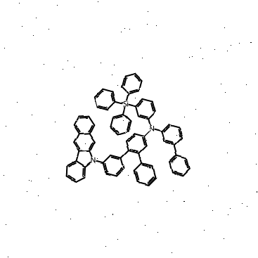 c1ccc(-c2cccc(N(c3cccc([Si](c4ccccc4)(c4ccccc4)c4ccccc4)c3)c3ccc(-c4cccc(-n5c6ccccc6c6cc7ccccc7cc65)c4)c(-c4ccccc4)c3)c2)cc1